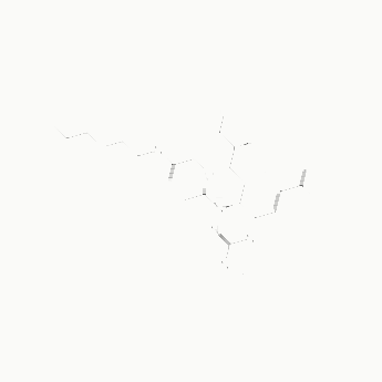 CCCOCCNC(=O)CO[C@@H]([C@@H]1OC(C(=O)O)=C[C@H](NC(=N)N)[C@H]1NC(C)=O)[C@H](O)CO